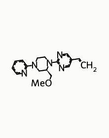 C=Cc1cnc(N2CCN(c3ccccn3)C[C@@H]2COC)nc1